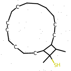 CC1C2CCCCCCCCCCCCCCC2C1(C)S